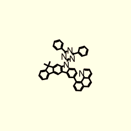 CC1(C)c2ccccc2-c2cc3c4cc(-c5cccc6ccc7cccnc7c56)ccc4n(-c4nc(-c5ccccc5)nc(-c5ccccc5)n4)c3cc21